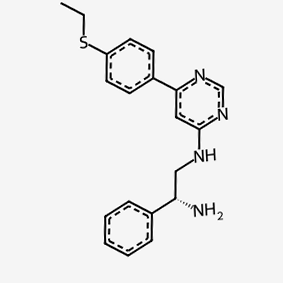 CCSc1ccc(-c2cc(NC[C@H](N)c3ccccc3)ncn2)cc1